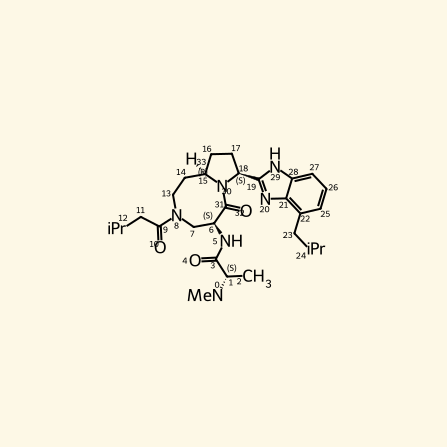 CN[C@@H](C)C(=O)N[C@H]1CN(C(=O)CC(C)C)CC[C@H]2CC[C@@H](c3nc4c(CC(C)C)cccc4[nH]3)N2C1=O